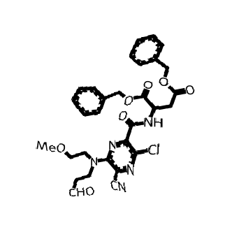 COCCN(CCC=O)c1nc(C(=O)NC(CC(=O)OCc2ccccc2)C(=O)OCc2ccccc2)c(Cl)nc1C#N